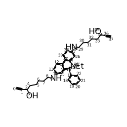 C#CC(O)CCCCCNc1ccc2c(c1)c(-c1ccccc1)[n+](CC)c1cc(NCCCCCC(O)C#C)ccc21